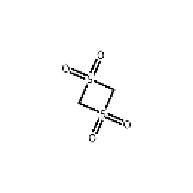 O=S1(=O)CS(=O)(=O)C1